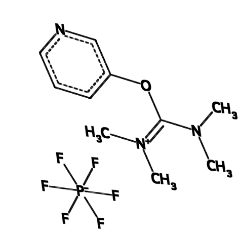 CN(C)C(Oc1cccnc1)=[N+](C)C.F[P-](F)(F)(F)(F)F